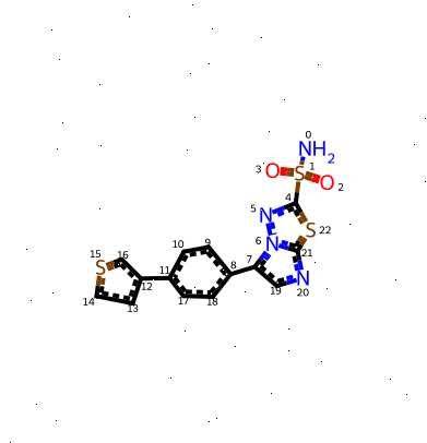 NS(=O)(=O)c1nn2c(-c3ccc(-c4ccsc4)cc3)cnc2s1